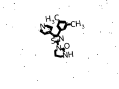 Cc1cc(C)cc(-c2nc(N3CCCNC3=O)sc2-c2ccncc2)c1